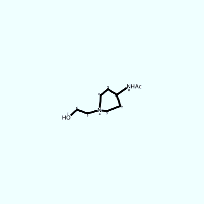 CC(=O)NC1CCN(CCO)CC1